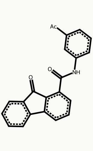 CC(=O)c1cccc(NC(=O)c2cccc3c2C(=O)c2ccccc2-3)c1